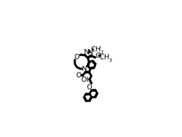 COCc1c2c(nn1C)COCCCCn1c(C(=O)O)c(CCCOc3cccc4ccccc34)c3cccc-2c31